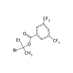 CCC(C)(Br)OC(=O)c1cc(C(F)(F)F)cc(C(F)(F)F)c1